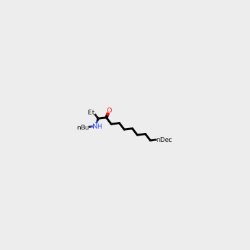 CCCCCCCCCCCCCCCCCC(=O)C(CC)NCCCC